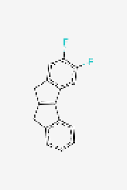 Fc1cc2c(cc1F)C1=C(Cc3ccccc31)C2